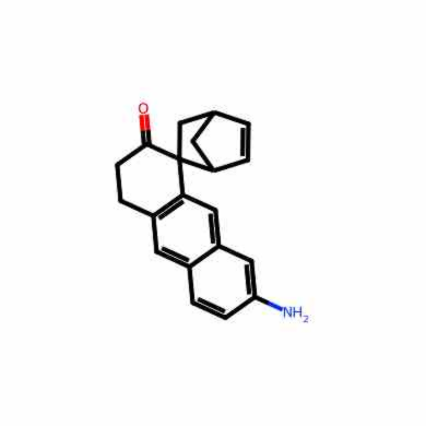 Nc1ccc2cc3c(cc2c1)C1(CC2C=CC1C2)C(=O)CC3